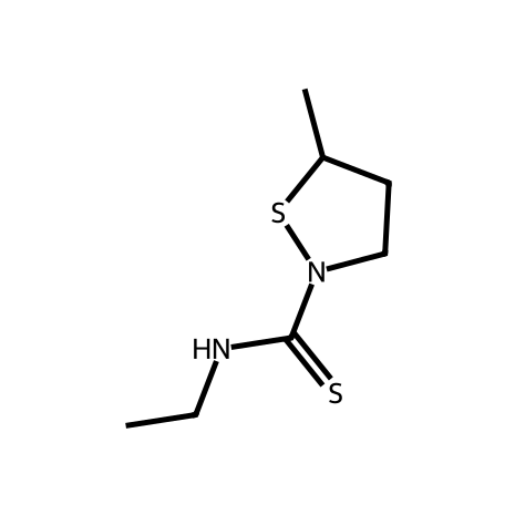 CCNC(=S)N1CCC(C)S1